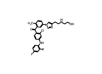 Cc1ccc(-n2cc(CCNCCO)nn2)cc1C(=O)c1ccc(Nc2ccc(F)cc2F)cc1Cl